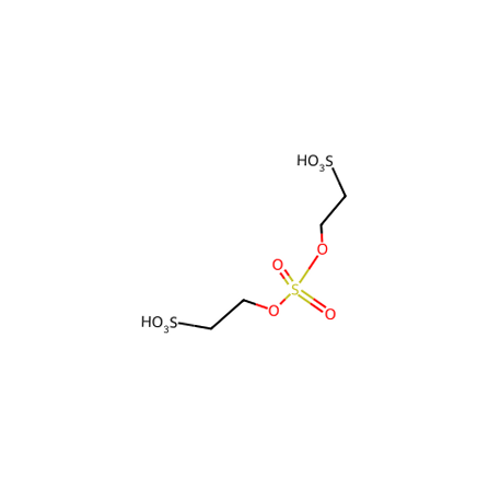 O=S(=O)(O)CCOS(=O)(=O)OCCS(=O)(=O)O